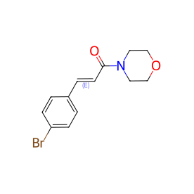 O=C(/C=C/c1ccc(Br)cc1)N1CCOCC1